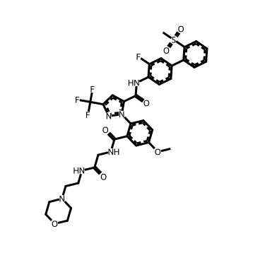 COc1ccc(-n2nc(C(F)(F)F)cc2C(=O)Nc2ccc(-c3ccccc3S(C)(=O)=O)cc2F)c(C(=O)NCC(=O)NCCN2CCOCC2)c1